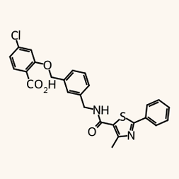 Cc1nc(-c2ccccc2)sc1C(=O)NCc1cccc(COc2cc(Cl)ccc2C(=O)O)c1